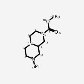 CC(C)N1CCN2CCN(C(=O)OC(C)(C)C)CC2C1